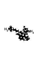 CC(C)N(CCCCOS(N)(=O)=O)CCn1c(C(C2=COCO2)c2ccccc2I)nc2c(N)nc(F)nc21